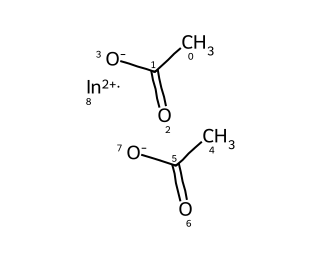 CC(=O)[O-].CC(=O)[O-].[In+2]